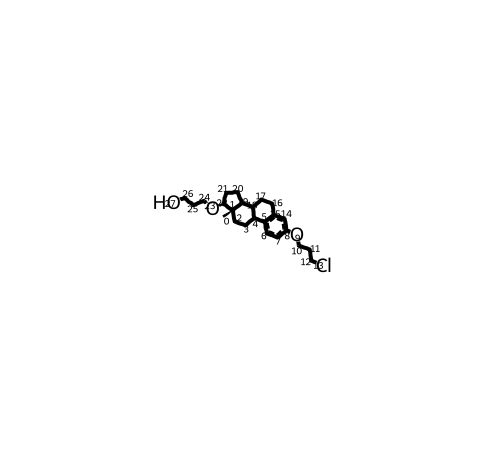 C[C@]12CCC3c4ccc(OCCCCl)cc4CCC3C1CC[C@@H]2OCCCO